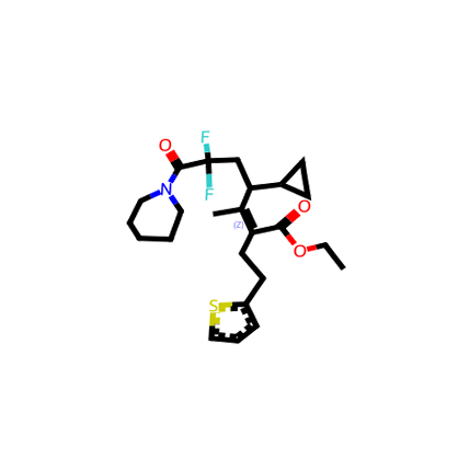 CCOC(=O)/C(CCc1cccs1)=C(/C)C(CC(F)(F)C(=O)N1CCCCC1)C1CC1